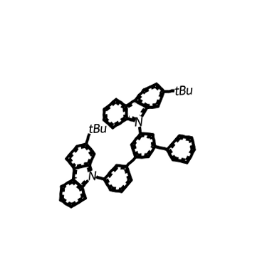 CC(C)(C)c1ccc2c3ccccc3n(-c3cccc(-c4cc(-c5ccccc5)cc(-n5c6ccccc6c6ccc(C(C)(C)C)cc65)c4)c3)c2c1